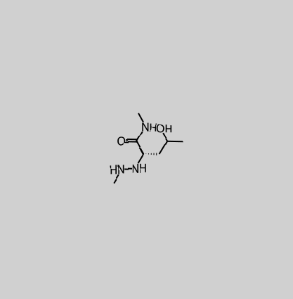 CNN[C@@H](CC(C)O)C(=O)NC